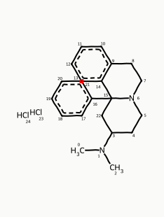 CN(C)C1CCN2CCc3ccccc3C2(c2ccccc2)C1.Cl.Cl